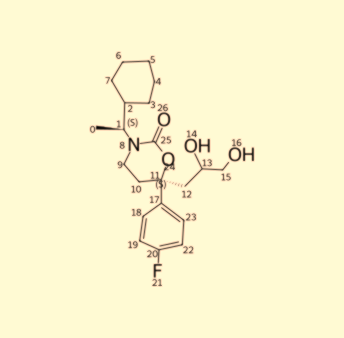 C[C@@H](C1CCCCC1)N1CC[C@](CC(O)CO)(c2ccc(F)cc2)OC1=O